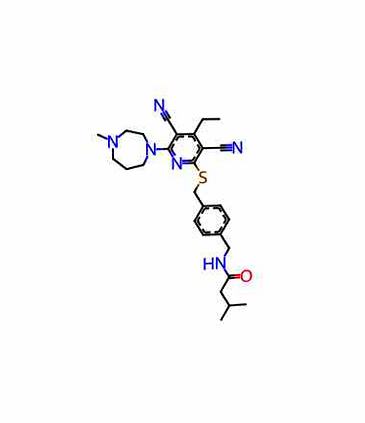 CCc1c(C#N)c(SCc2ccc(CNC(=O)CC(C)C)cc2)nc(N2CCCN(C)CC2)c1C#N